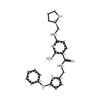 Nc1nc(NC[C@H]2CCCO2)ccc1C(=O)NCc1ccc(Oc2ccccc2)s1